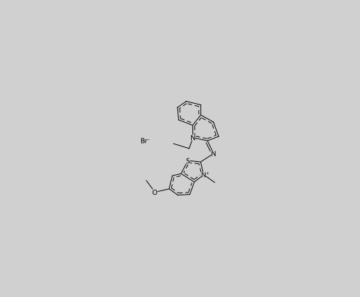 CCn1c(=Nc2sc3cc(OC)ccc3[n+]2C)ccc2ccccc21.[Br-]